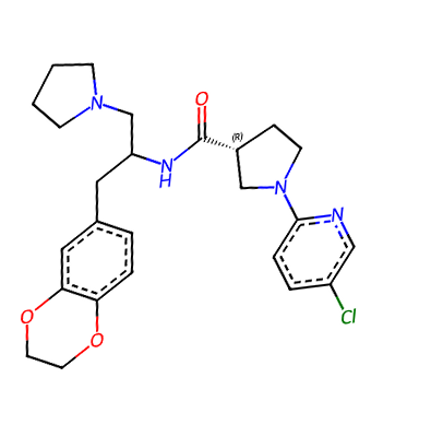 O=C(NC(Cc1ccc2c(c1)OCCO2)CN1CCCC1)[C@@H]1CCN(c2ccc(Cl)cn2)C1